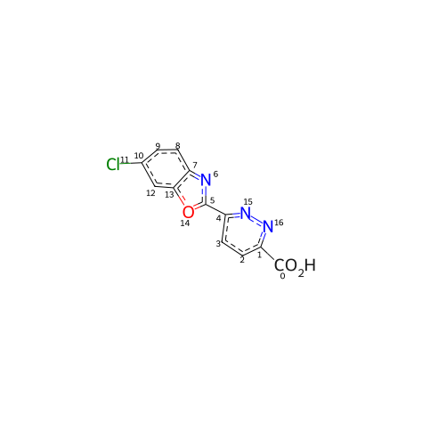 O=C(O)c1ccc(-c2nc3ccc(Cl)cc3o2)nn1